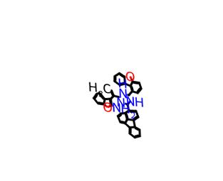 C/C=C(/C1=NC(c2ccc3c4c(cccc24)-c2ccccc2-3)NC(c2cccc3oc4ccccc4c23)N1)c1c(N)oc2ccccc12